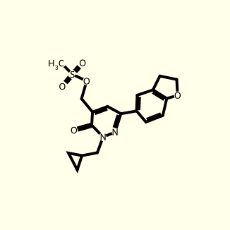 CS(=O)(=O)OCc1cc(-c2ccc3c(c2)CCO3)nn(CC2CC2)c1=O